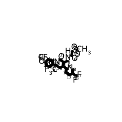 CS(=O)(=O)CC(=O)NCC1=C(c2ccc(C(F)F)cn2)C[C@](c2ccc(OC(F)(F)F)cc2)(C(F)(F)F)NC1=O